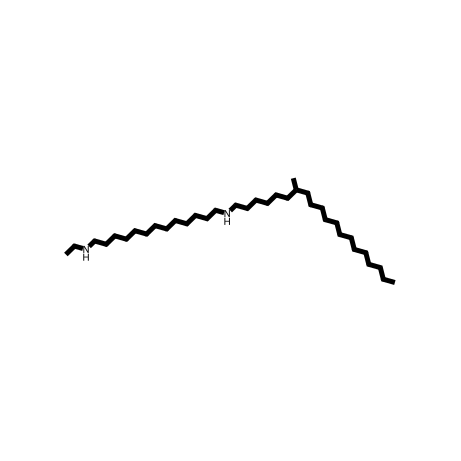 CCCCCCCCCCCCCC(C)CCCCCCNCCCCCCCCCCCCCNCC